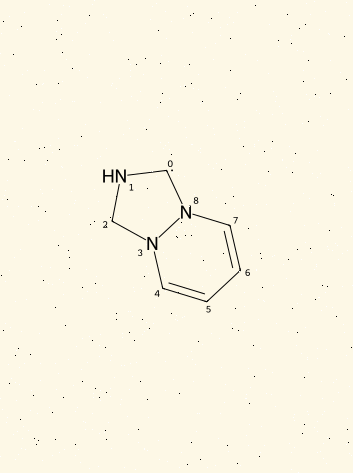 [CH]1NCN2C=CC=CN12